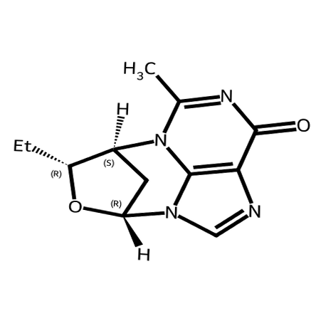 CC[C@H]1O[C@@H]2C[C@@H]1n1c(C)nc(=O)c3ncn2c31